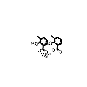 Cc1cccc(C(=O)[O-])c1O.Cc1cccc(C(=O)[O-])c1O.[Mg+2]